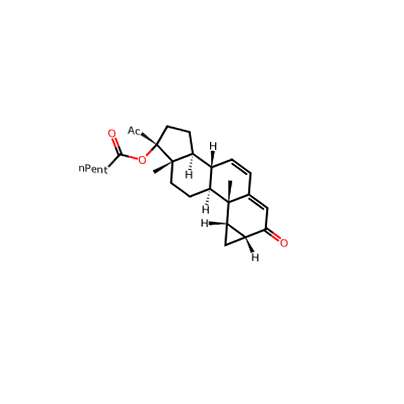 CCCCCC(=O)O[C@]1(C(C)=O)CC[C@H]2[C@@H]3C=CC4=CC(=O)[C@@H]5C[C@@H]5[C@]4(C)[C@H]3CC[C@@]21C